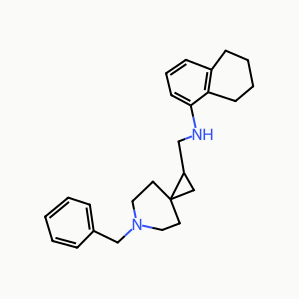 c1ccc(CN2CCC3(CC2)CC3CNc2cccc3c2CCCC3)cc1